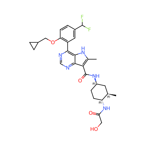 Cc1[nH]c2c(-c3cc(C(F)F)ccc3OCC3CC3)ncnc2c1C(=O)N[C@@H]1CC[C@@H](NC(=O)CO)[C@H](C)C1